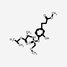 COCP(=O)(N[C@@H](C)C(=O)OC(C)C)Oc1ccc(CCC(=O)OC)cc1O